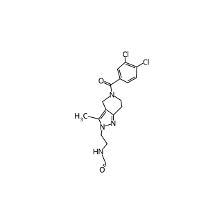 Cc1c2c(nn1CCNC=O)CCN(C(=O)c1ccc(Cl)c(Cl)c1)C2